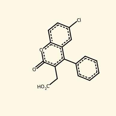 O=C(O)Cc1c(-c2ccccc2)c2cc(Cl)ccc2oc1=O